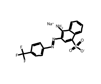 Nc1c(N=Nc2ccc(C(F)(F)F)cc2)cc(S(=O)(=O)[O-])c2ccccc12.[Na+]